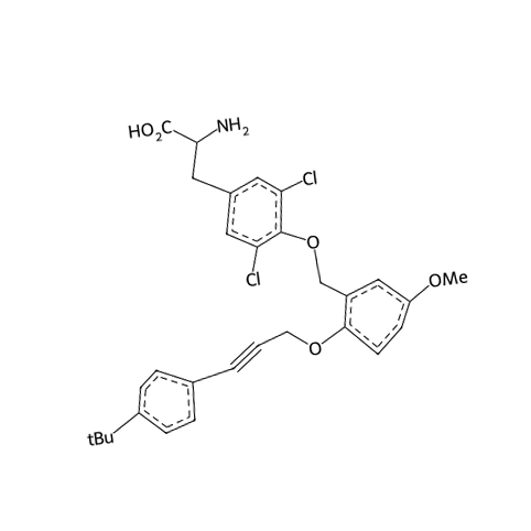 COc1ccc(OCC#Cc2ccc(C(C)(C)C)cc2)c(COc2c(Cl)cc(CC(N)C(=O)O)cc2Cl)c1